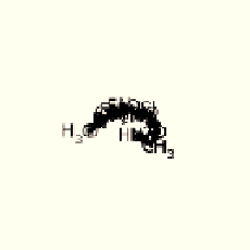 COCCn1cc(-c2ccc(-c3cnc(C(=O)Nc4ccc(C(=O)N5CCN(C(=O)C6CC[N+](C)(CC7CNC7)CC6)CC5)c(Cl)c4)n3C)c(F)c2F)c(C)n1